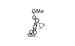 COCCOc1ccc(C2CC(C)(C)CC(C)(C)C2)c(N2CCN(C(=O)OC(C)(C)C)CC2)c1